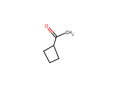 [CH2]C(=O)C1CCC1